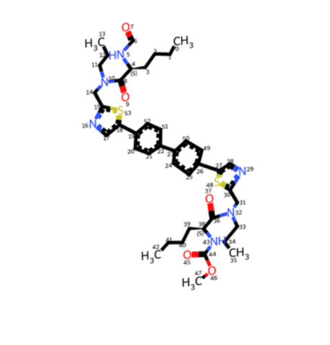 CCCC[C@H](NC=O)C(=O)N(CCC)Cc1ncc(-c2ccc(-c3ccc(-c4cnc(CN(CCC)C(=O)[C@H](CCCC)NC(=O)OC)s4)cc3)cc2)s1